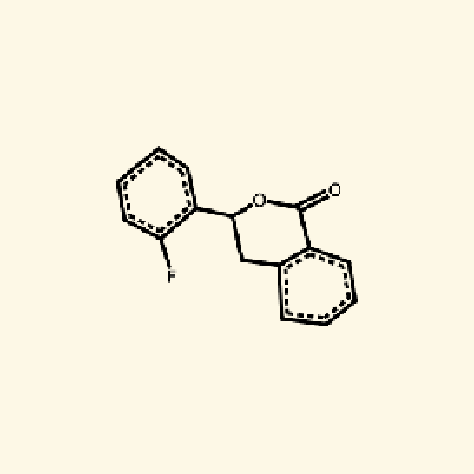 O=C1OC(c2ccccc2F)Cc2ccccc21